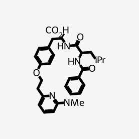 CNc1cccc(CCOc2ccc(C[C@H](NC(=O)C(CC(C)C)NC(=O)c3ccccc3)C(=O)O)cc2)n1